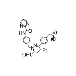 CCC1CC(C=O)N(Cc2ccc(NC(=O)c3ncccn3)cc2)N=C1c1ccc(C[SH](=O)=O)cc1